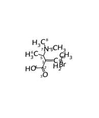 C=C(C(=O)O)C(C)N(C)C.CBr